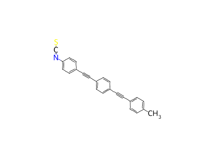 Cc1ccc(C#Cc2ccc(C#Cc3ccc(N=C=S)cc3)cc2)cc1